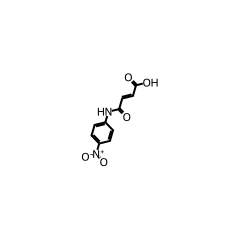 O=C(O)C=CC(=O)Nc1ccc([N+](=O)[O-])cc1